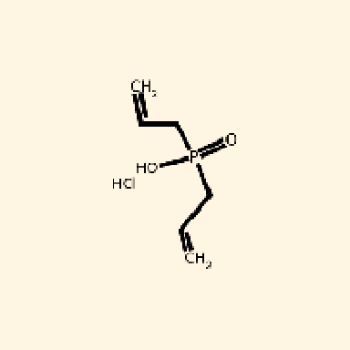 C=CCP(=O)(O)CC=C.Cl